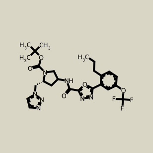 CCCc1ccc(OC(F)(F)F)cc1-c1nnc(C(=O)NC2C[C@H](Cn3ccnn3)N(C(=O)OC(C)(C)C)C2)o1